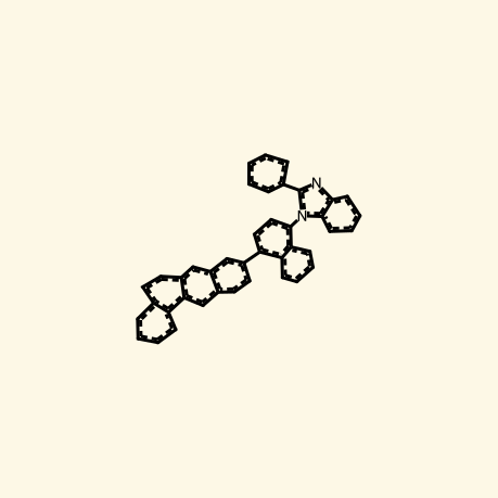 c1ccc(-c2nc3ccccc3n2-c2ccc(-c3ccc4cc5c(ccc6ccccc65)cc4c3)c3ccccc23)cc1